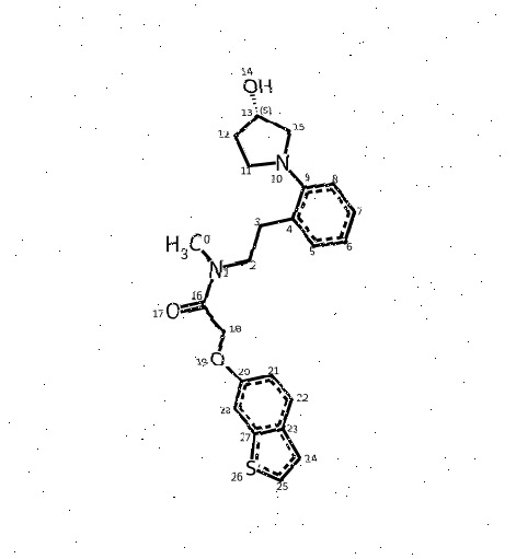 CN(CCc1ccccc1N1CC[C@H](O)C1)C(=O)COc1ccc2ccsc2c1